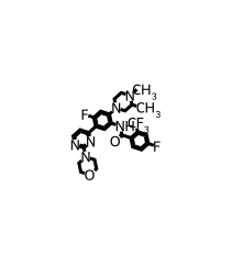 CC1CN(c2cc(F)c(-c3ccnc(N4CCOCC4)n3)cc2NC(=O)c2ccc(F)cc2C(F)(F)F)CCN1C